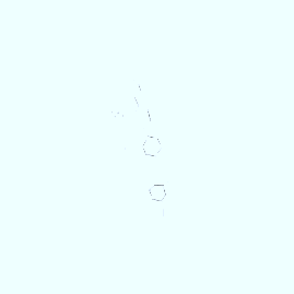 C=C/C=C(\C=C(\F)Cc1ccc(CCc2ccc(CC)c(F)c2F)cc1C)OC